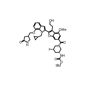 COc1cc(C(=O)N2C[C@H](F)C[C@@H](NC(=O)OC(C)(C)C)C2)cc2oc(-c3cc4cccc(OCC5CNC(=O)C5)c4n3CC3CC3)c(CCO)c12